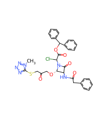 Cn1nnnc1SCC(=O)CO[C@H]1[C@H](NC(=O)Cc2ccccc2)C(=O)N1C(Cl)C(=O)OC(c1ccccc1)c1ccccc1